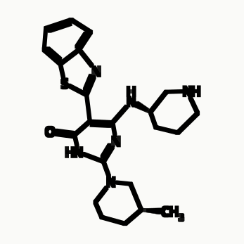 C[C@H]1CCCN(c2nc(N[C@@H]3CCCNC3)c(-c3nc4ccccc4s3)c(=O)[nH]2)C1